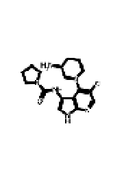 NC1CCCN(c2c(Cl)cnc3[nH]cc(NC(=O)N4CCCC4)c23)C1